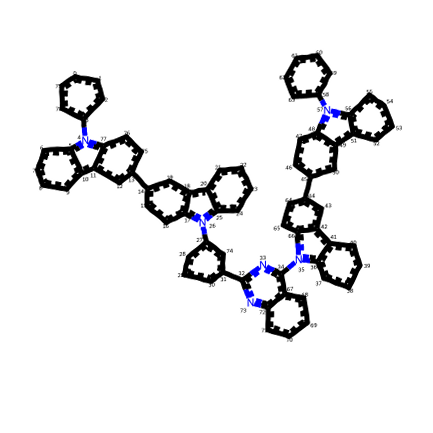 c1ccc(-n2c3ccccc3c3cc(-c4ccc5c(c4)c4ccccc4n5-c4cccc(-c5nc(-n6c7ccccc7c7cc(-c8ccc9c(c8)c8ccccc8n9-c8ccccc8)ccc76)c6ccccc6n5)c4)ccc32)cc1